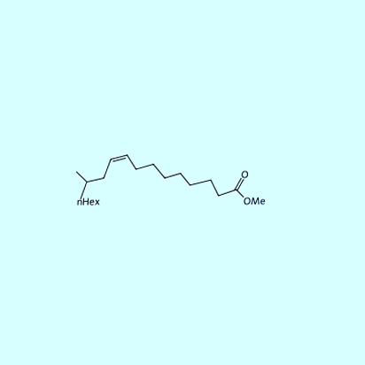 CCCCCCC(C)C/C=C\CCCCCCCC(=O)OC